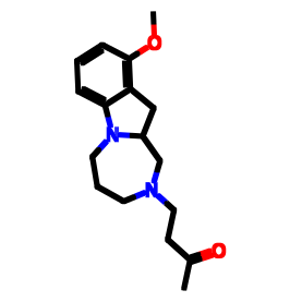 COc1cccc2c1CC1CN(CCC(C)=O)CCCN21